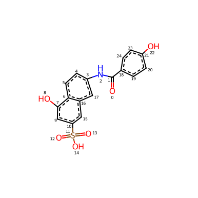 O=C(Nc1ccc2c(O)cc(S(=O)(=O)O)cc2c1)c1ccc(O)cc1